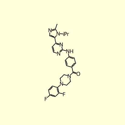 Cc1ncc(-c2ccnc(Nc3ccc(C(=O)N4CCN(c5ccc(F)cc5F)CC4)cc3)n2)n1C(C)C